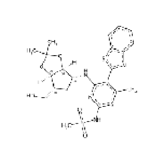 Cc1nc(NS(C)(=O)=O)nc(N[C@@H]2C[C@H](CO)[C@H]3OC(C)(C)O[C@H]32)c1-c1nc2ccccc2s1